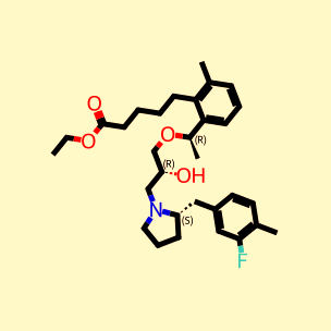 CCOC(=O)CCCCc1c(C)cccc1[C@@H](C)OC[C@H](O)CN1CCC[C@H]1Cc1ccc(C)c(F)c1